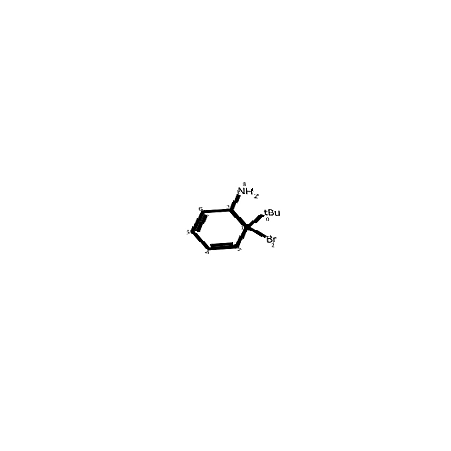 CC(C)(C)C1(Br)C=CC=CC1N